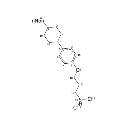 CCCCCCCCCC1CCC(c2ccc(OCCC[SiH](Cl)Cl)cc2)CC1